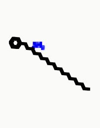 CCCCCCCCCCCCCCCCC(N)CCc1ccccc1